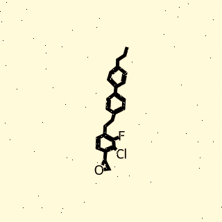 CCCc1ccc(-c2ccc(CCc3ccc(C4CO4)c(Cl)c3F)cc2)cc1